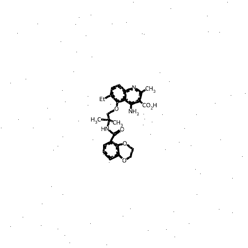 CCc1ccc2nc(C)c(C(=O)O)c(N)c2c1OCC(C)(C)NC(=O)c1cccc2c1OCCO2